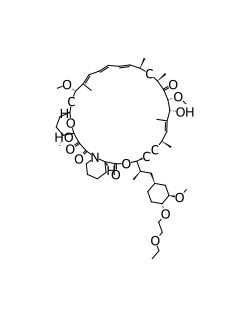 CCOCCO[C@@H]1CC[C@@H](C[C@@H](C)[C@@H]2CC[C@H](C)/C=C(\C)[C@@H](O)[C@@H](OC)C(=O)[C@H](C)C[C@H](C)/C=C/C=C/C=C(\C)[C@@H](OC)C[C@@H]3CC[C@@H](C)[C@@](O)(O3)C(=O)C(=O)N3CCCC[C@H]3C(=O)O2)C[C@H]1OC